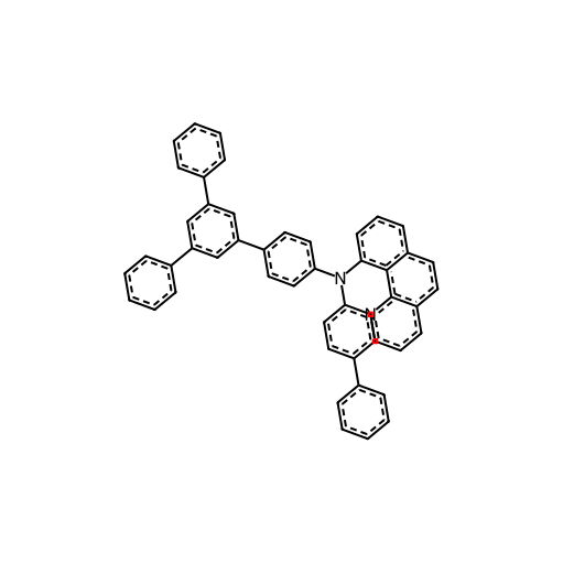 c1ccc(-c2ccc(N(c3ccc(-c4cc(-c5ccccc5)cc(-c5ccccc5)c4)cc3)c3cccc4ccc5cccnc5c34)cc2)cc1